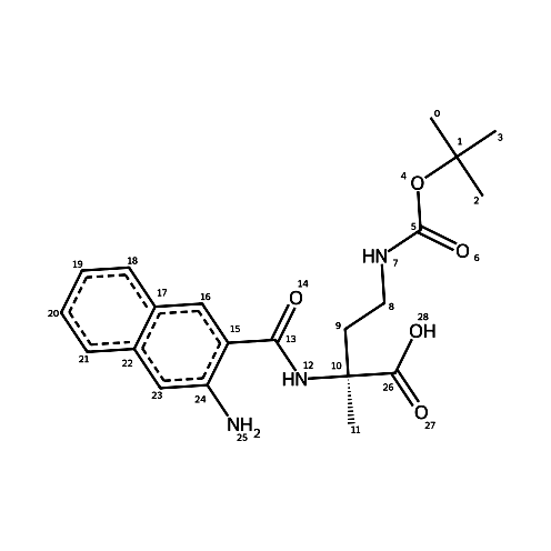 CC(C)(C)OC(=O)NCC[C@](C)(NC(=O)c1cc2ccccc2cc1N)C(=O)O